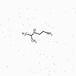 CC(C)[AsH]CCN